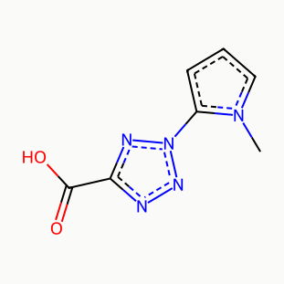 Cn1cccc1-n1nnc(C(=O)O)n1